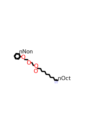 CCCCCCCC/C=C\CCCCCCCC(=O)OCCOCCOc1ccccc1CCCCCCCCC